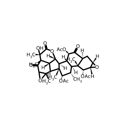 CC(=O)O[C@H]1C(=O)[C@H]2C[C@@H]3O[C@@H]3[C@H](OC(C)=O)[C@]2(C)[C@H]2[C@H](C)[C@H](OC(C)=O)[C@@]3(C)[C@@H]([C@H]4OC(=O)[C@@](C)(O)[C@@]5(C)C(=O)C6OC6(C)[C@H]3[C@@H]45)[C@@H]21